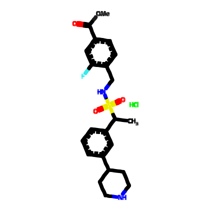 COC(=O)c1ccc(CNS(=O)(=O)C(C)c2cccc(C3CCNCC3)c2)c(F)c1.Cl